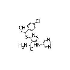 CCC(Sc1nsc(Nc2cncnc2)c1C(N)=O)c1ccc(Cl)cc1